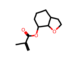 C=C(C)C(=O)OC1CCCC2CCOC21